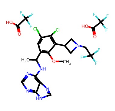 COc1c(C(C)Nc2ncnc3[nH]cnc23)cc(Cl)c(Cl)c1C1CN(CC(F)(F)F)C1.O=C(O)C(F)(F)F.O=C(O)C(F)(F)F